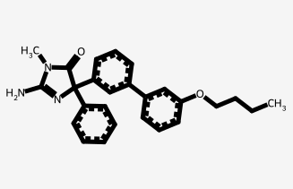 CCCCOc1cccc(-c2cccc(C3(c4ccccc4)N=C(N)N(C)C3=O)c2)c1